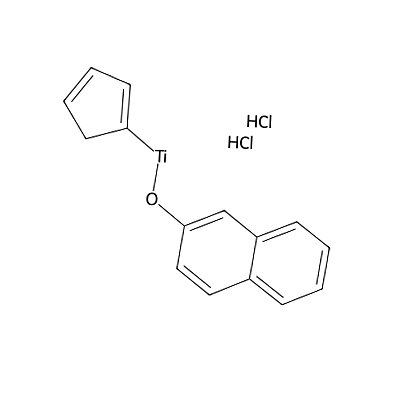 C1=CC[C]([Ti][O]c2ccc3ccccc3c2)=C1.Cl.Cl